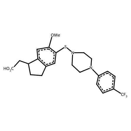 COc1cc2c(cc1SN1CCN(c3ccc(C(F)(F)F)cc3)CC1)CCC2CC(=O)O